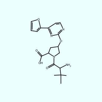 CC(C)(C)C(N)C(=O)N1CC(Oc2nccc(-c3ccco3)n2)CC1C(=O)O